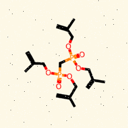 C=C(C)COP(=O)(CP(=O)(OCC(=C)C)OCC(=C)C)OCC(=C)C